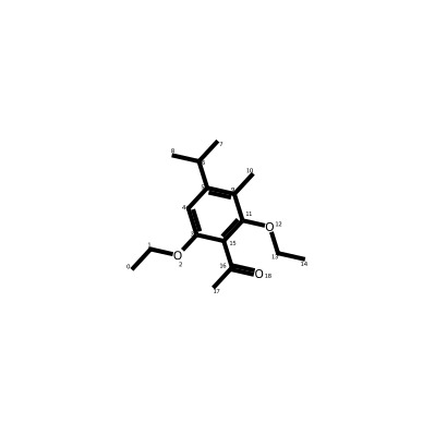 CCOc1cc(C(C)C)c(C)c(OCC)c1C(C)=O